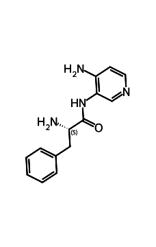 Nc1ccncc1NC(=O)[C@@H](N)Cc1ccccc1